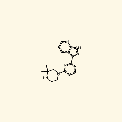 CC1(C)CN(c2cccc(-c3n[nH]c4ncccc34)n2)CCN1